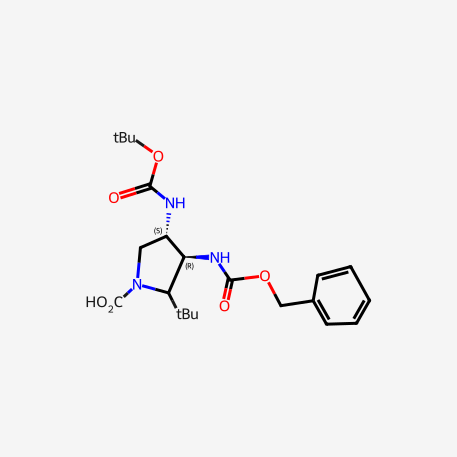 CC(C)(C)OC(=O)N[C@H]1CN(C(=O)O)C(C(C)(C)C)[C@@H]1NC(=O)OCc1ccccc1